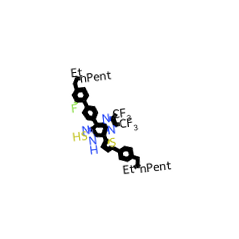 CCCCCC(CC)Cc1ccc(-c2ccc(C3=c4nc(C(F)(F)F)c(C(F)(F)F)nc4=C(c4ccc(-c5ccc(CC(CC)CCCCC)cc5F)cc4)/C(=N/S)C3=N)s2)cc1